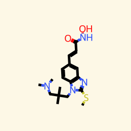 CSc1nc2cc(C=CC(=O)NO)ccc2n1CC(C)(C)CN(C)C